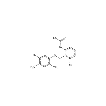 CCC(=O)Oc1cccc(CC)c1COc1cc(Cl)c(C)cc1C